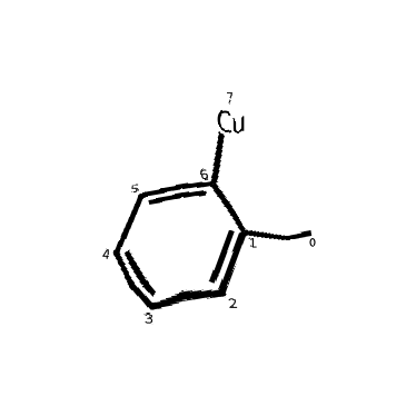 Cc1cccc[c]1[Cu]